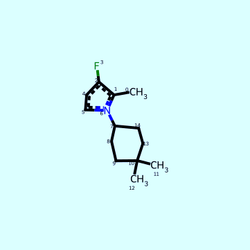 Cc1c(F)ccn1C1CCC(C)(C)CC1